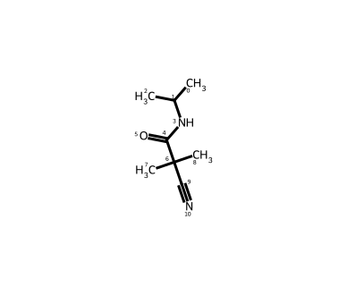 CC(C)NC(=O)C(C)(C)C#N